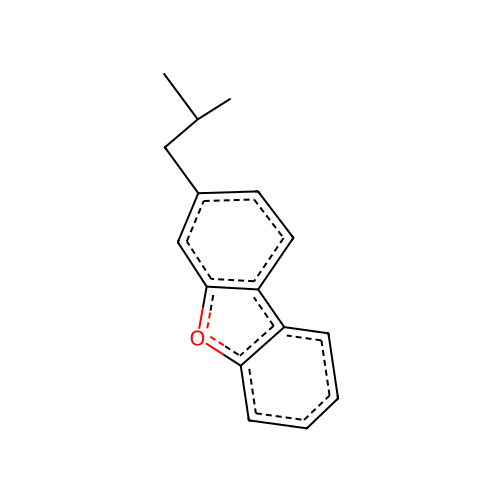 CC(C)Cc1ccc2c(c1)oc1ccccc12